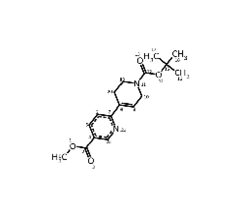 COC(=O)c1ccc(C2=CCN(C(=O)OC(C)(C)C)CC2)nc1